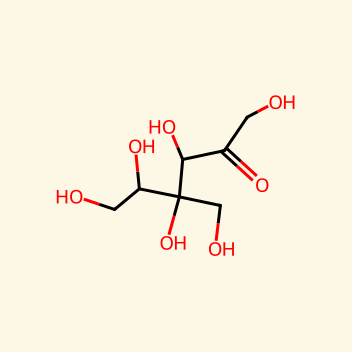 O=C(CO)C(O)C(O)(CO)C(O)CO